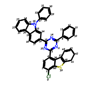 Clc1ccc(-c2nc(-c3ccccc3)nc(-c3ccc4c5ccccc5n(-c5ccccc5)c4c3)n2)c2c3c(sc12)CCC=C3